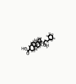 C[C@]12CC[C@H]3[C@@H](CC=C4C=C(C(=O)O)CC[C@@]43C)[C@@H]1CC[C@@H]2C(O)CCc1ccccc1